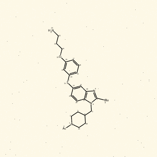 CC(=O)N1CCC(Cn2c(C(C)(C)C)nc3cc(Sc4cccc(OCCCN)c4)ccc32)CC1